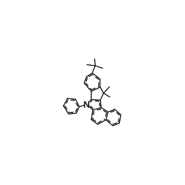 CC(C)(C)c1ccc2c(c1)C(C)(C)c1c-2n(-c2ccccc2)c2ccc3ccccc3c12